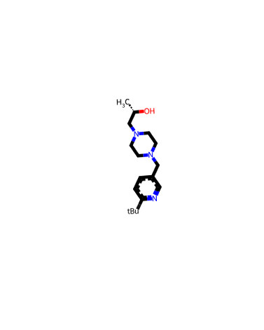 C[C@H](O)CN1CCN(Cc2ccc(C(C)(C)C)nc2)CC1